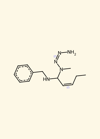 CC/C=C\C(NCc1ccccc1)N(C)/N=N\N